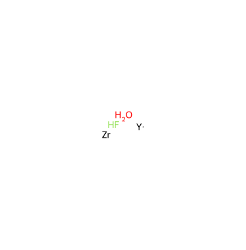 F.O.[Y].[Zr]